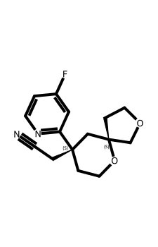 N#CC[C@]1(c2cc(F)ccn2)CCO[C@]2(CCOC2)C1